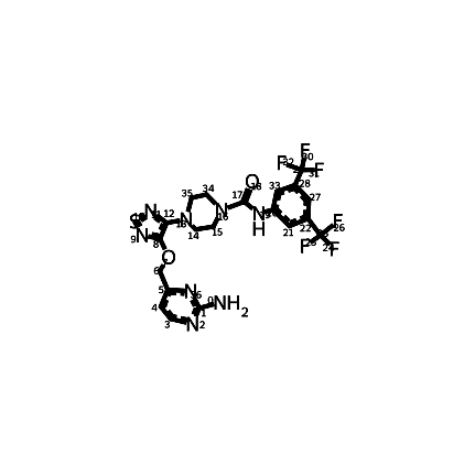 Nc1nccc(COc2nsnc2N2CCN(C(=O)Nc3cc(C(F)(F)F)cc(C(F)(F)F)c3)CC2)n1